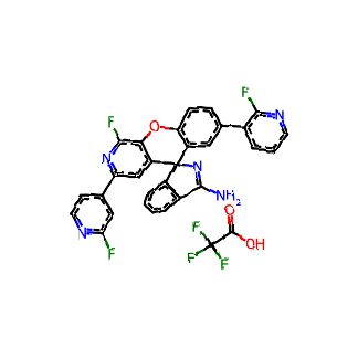 NC1=NC2(c3cc(-c4cccnc4F)ccc3Oc3c2cc(-c2ccnc(F)c2)nc3F)c2ccccc21.O=C(O)C(F)(F)F